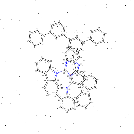 c1ccc(-c2cccc(-c3cc(-c4ccccc4)cc(-c4nc(-c5ccccc5)nc(-n5c6ccccc6c6ccc7c8ccccc8n(-c8cc(-c9ccccc9)ccc8-c8ccccc8)c7c65)n4)c3)c2)cc1